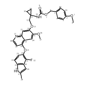 COc1ccc(COC(=O)NC2(COc3cc4nccc(Oc5ccc6[nH]c(C)cc6c5F)c4cc3OC)CC2)cc1